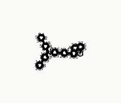 c1ccc(-c2ccc(N(c3ccc(-c4ccccc4)cc3)c3ccc(-c4ccc(-c5ccc6oc7cccc8ccc5c6c87)cc4)cc3)cc2)cc1